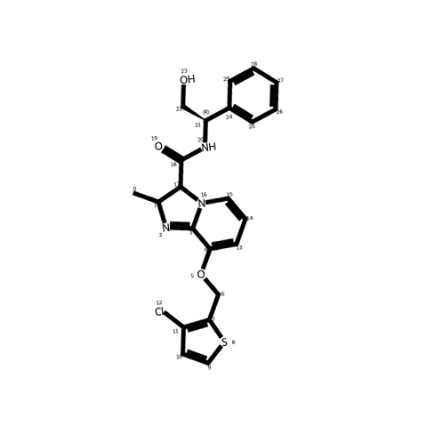 CC1N=C2C(OCc3sccc3Cl)=CC=CN2C1C(=O)N[C@@H](CO)c1ccccc1